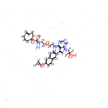 CC(C)(O)Cn1cc(-c2ccc3cc(OC4CC4)ccc3c2)c2c(NCCOCCNC(=O)OC3CC/C=C/CCC3)ncnc21